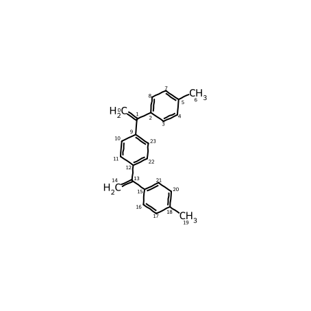 C=C(c1ccc(C)cc1)c1ccc(C(=C)c2ccc(C)cc2)cc1